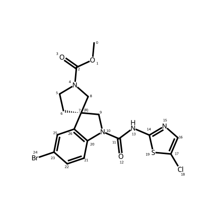 COC(=O)N1CC[C@]2(C1)CN(C(=O)Nc1ncc(Cl)s1)c1ccc(Br)cc12